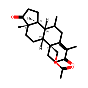 CC(=O)OC[C@]12CCC(=O)C(C)=C1CC(C)[C@@H]1[C@H]2CC[C@]2(C)C(=O)CC[C@@H]12